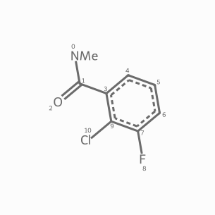 CNC(=O)c1cccc(F)c1Cl